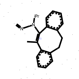 C=NN(/C1=C(\C)c2ccccc2CCc2ccccc21)C(C)C